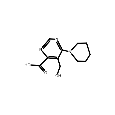 O=C(O)c1n[c]nc(N2CCCCC2)c1CO